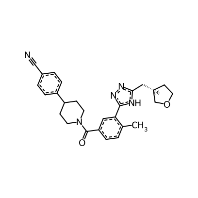 Cc1ccc(C(=O)N2CCC(c3ccc(C#N)cc3)CC2)cc1-c1nnc(C[C@@H]2CCOC2)[nH]1